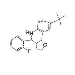 CC(C)(C)c1ccc2c(c1)C1OCCC1C(c1ccccc1F)N2